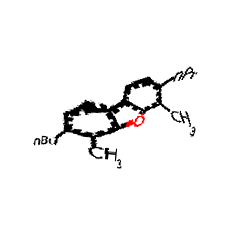 CCCCc1ccc2c(oc3c(C)c(CCC)ccc32)c1C